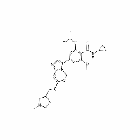 COc1cc(-c2cnc3cc(OCC4CCN(C)C4)ccn23)cc(OC(F)F)c1C(=O)NC1CC1